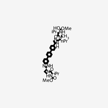 CCC[C@@H](c1ncc(-c2ccc(-c3ccc(-c4ccc5nc([C@@H]6CCN6C(=O)[C@@H](NC(=O)OC)C(C)C)[nH]c5c4)cc3)cc2)[nH]1)N(C)C(=O)[C@@H](NC(O)OC)C(C)C